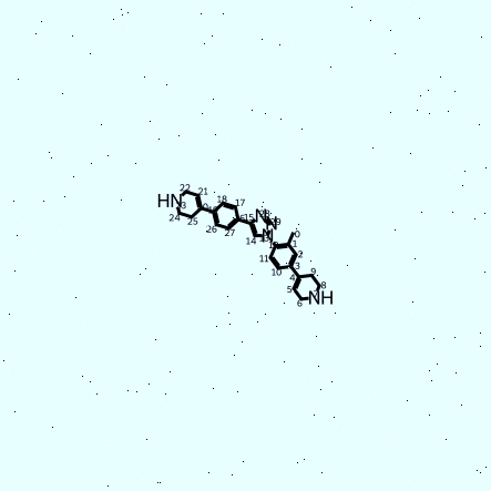 Cc1cc(C2=CCNCC2)ccc1-n1cc(-c2ccc(C3=CCNCC3)cc2)nn1